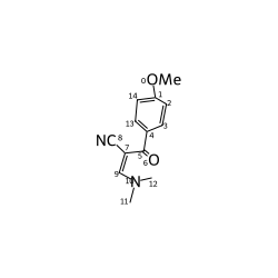 COc1ccc(C(=O)/C(C#N)=C\N(C)C)cc1